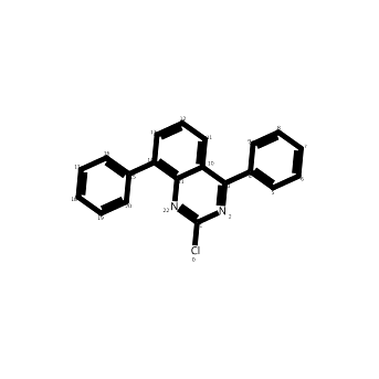 Clc1nc(-c2ccccc2)c2cccc(-c3ccccc3)c2n1